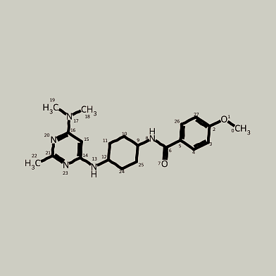 COc1ccc(C(=O)NC2CCC(Nc3cc(N(C)C)nc(C)n3)CC2)cc1